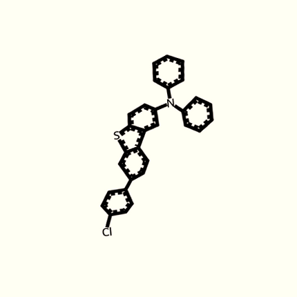 Clc1ccc(-c2ccc3c(c2)sc2ccc(N(c4ccccc4)c4ccccc4)cc23)cc1